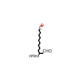 CCCCCCC(CC=O)CCCCCCCCC=C=O